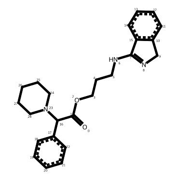 O=C(OCCCNC1=NCc2ccccc21)C(c1ccccc1)N1CCCCC1